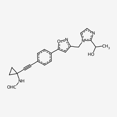 CC(O)c1nccn1Cc1cc(-c2ccc(C#CC3(NC=O)CC3)cc2)on1